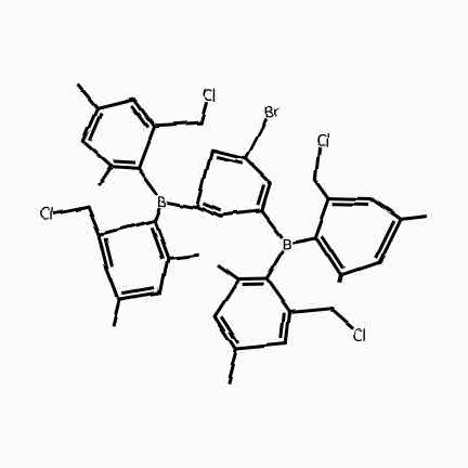 Cc1cc(C)c(B(c2cc(Br)cc(B(c3c(C)cc(C)cc3CCl)c3c(C)cc(C)cc3CCl)c2)c2c(C)cc(C)cc2CCl)c(CCl)c1